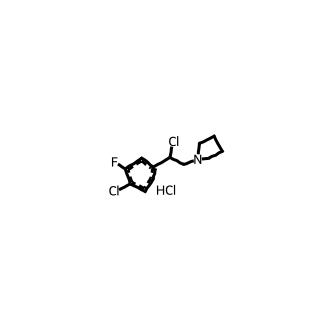 Cl.Fc1cc(C(Cl)CN2CCCC2)ccc1Cl